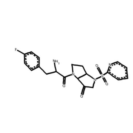 NC(Cc1ccc(F)cc1)C(=O)N1CCC2C1C(=O)CN2S(=O)(=O)c1ccccn1